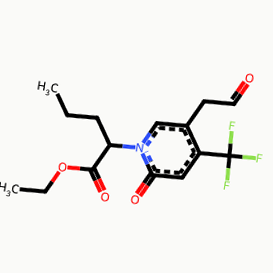 CCCC(C(=O)OCC)n1cc(CC=O)c(C(F)(F)F)cc1=O